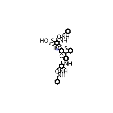 Cc1cc(C)c(Nc2ccc3c(-c4ccccc4S(=O)(=O)O)c4cc/c(=N\c5c(C)c(NC(=O)NCc6ccccc6)c(C)c(S(=O)(=O)O)c5C)cc-4oc3c2)c(C)c1NC(=O)NCc1ccccc1